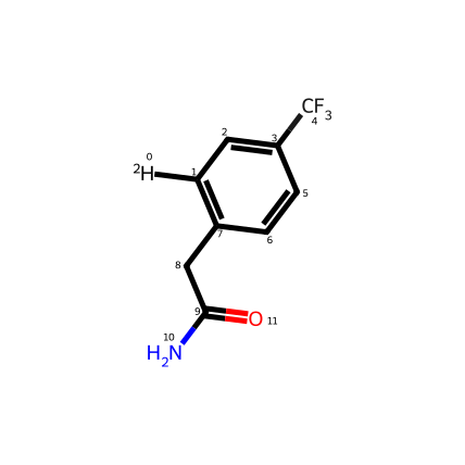 [2H]c1cc(C(F)(F)F)ccc1CC(N)=O